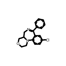 Clc1ccc2c(c1)C(c1ccccc1)=NCC1COCCN21